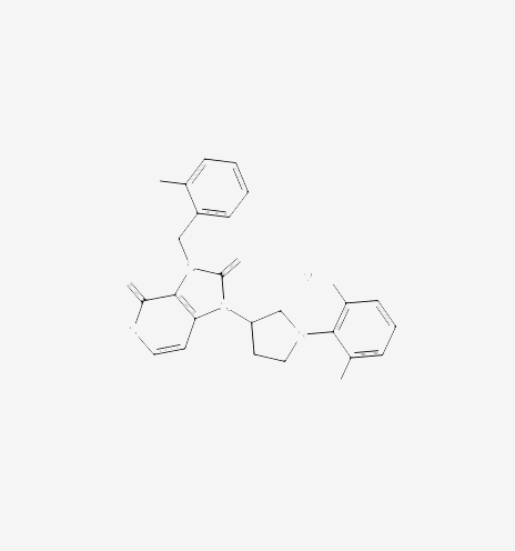 COc1cccc(F)c1N1CCC(n2c(=O)n(Cc3ccccc3C(F)(F)F)c3c(=O)[nH]ccc32)C1